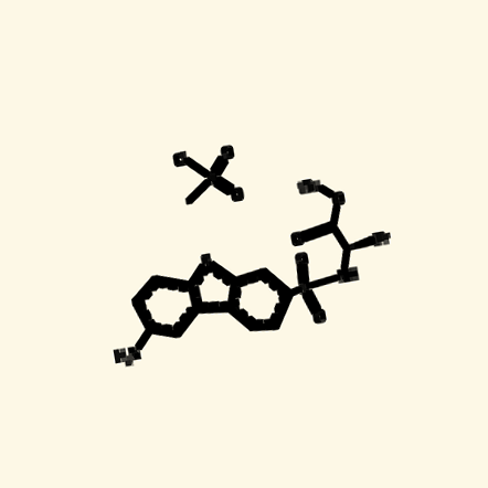 CC(C)[C@@H](NS(=O)(=O)c1ccc2c(c1)sc1ccc(N)cc12)C(=O)OC(C)(C)C.CS(=O)(=O)Cl